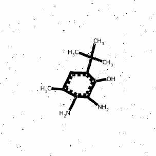 Cc1cc(C(C)(C)C)c(O)c(N)c1N